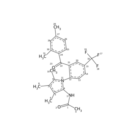 CC(=O)Nc1c(C)c(C)c(C)n1-c1ccc(C(F)(F)F)cc1C(=O)c1ccc(C)cc1C